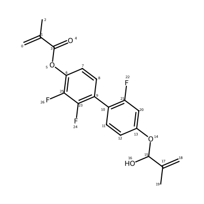 C=C(C)C(=O)Oc1ccc(-c2ccc(OC(O)C(=C)C)cc2F)c(F)c1F